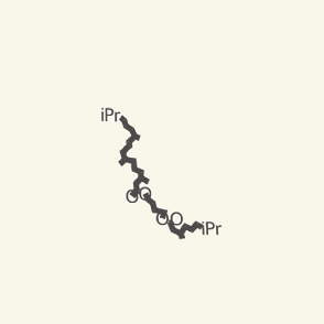 CC(C)CCCC(C)CCCC(C)CCCC(C)CC(=O)OCCCCOC(=O)CC(C)CCCC(C)C